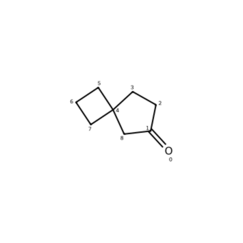 O=C1CCC2(CCC2)C1